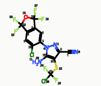 N#Cc1nn(-c2cc3c(cc2Cl)C(F)(F)OC3(F)F)c(N)c1SC(F)(F)Cl